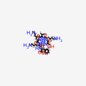 CC(C)[C@H](NC(=O)[C@H](CCCCN)NC(=O)[C@@H](N)CO)C(=O)N[C@@H](CCCCN)C(=O)N[C@@H](CCCCN)C(=O)N[C@@H](Cc1ccccc1)C(=O)O